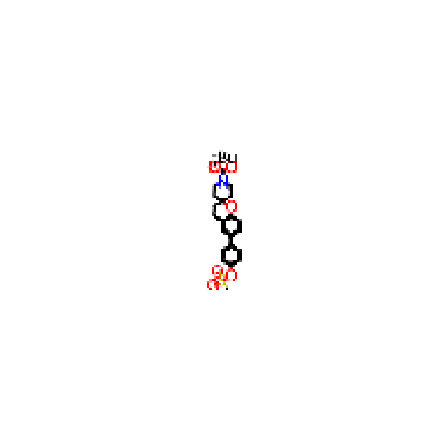 CC(C)(C)OC(=O)N1CCC2(CCc3cc(-c4ccc(OS(C)(=O)=O)cc4)ccc3O2)CC1